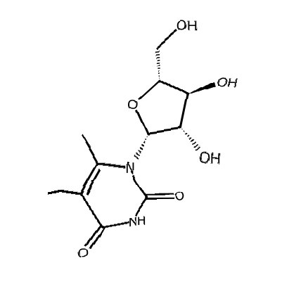 Cc1c(C)n([C@@H]2O[C@H](CO)[C@@H](O)[C@@H]2O)c(=O)[nH]c1=O